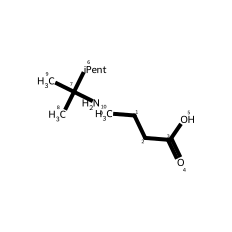 CCCC(=O)O.CCCC(C)C(C)(C)N